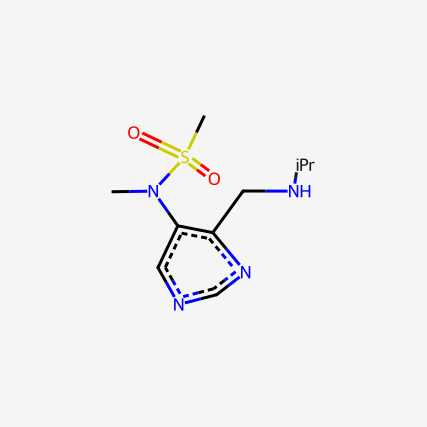 CC(C)NCc1ncncc1N(C)S(C)(=O)=O